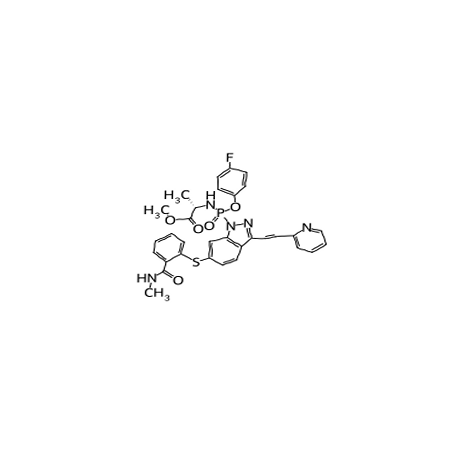 CNC(=O)c1ccccc1Sc1ccc2c(/C=C/c3ccccn3)nn([P@](=O)(N[C@@H](C)C(=O)OC)Oc3ccc(F)cc3)c2c1